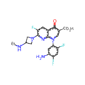 CCNC1CN(c2nc3c(cc2F)c(=O)c(C(=O)O)cn3-c2cc(N)c(F)cc2F)C1